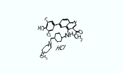 CC(=O)c1cnc2ccc(-c3cc(F)c(O)c(Cl)c3)cc2c1NC1CCC(CN2CCN(C)CC2)CC1.Cl